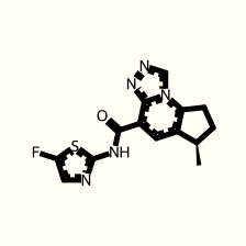 C[C@@H]1CCc2c1cc(C(=O)Nc1ncc(F)s1)c1nncn21